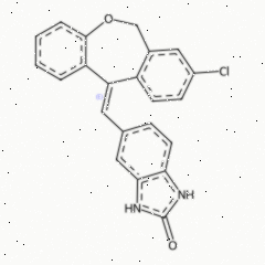 O=c1[nH]c2ccc(/C=C3\c4ccc(Cl)cc4COc4ccccc43)cc2[nH]1